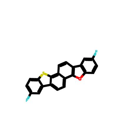 Fc1ccc2oc3c(ccc4c3ccc3c5cc(F)ccc5sc34)c2c1